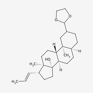 CC=C[C@H]1CC[C@]2(O)[C@@H]3CC[C@@H]4CCC(C5OCCO5)C[C@]4(C)[C@H]3CC[C@]12C